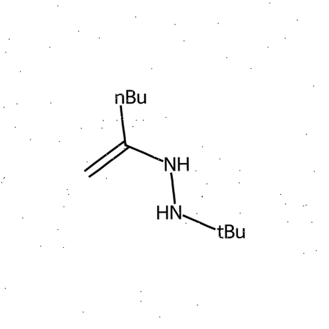 C=C(CCCC)NNC(C)(C)C